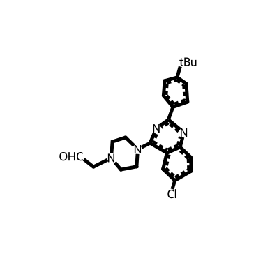 CC(C)(C)c1ccc(-c2nc(N3CCN(CC=O)CC3)c3cc(Cl)ccc3n2)cc1